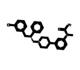 CC(C)C(=O)N(C)c1cccc(C2CCN(C[C@H](Cc3cccc(Cl)c3)c3ccccc3)CC2)c1